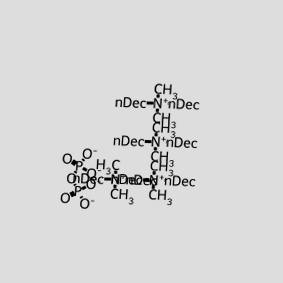 CCCCCCCCCC[N+](C)(C)CCCCCCCCCC.CCCCCCCCCC[N+](C)(C)CCCCCCCCCC.CCCCCCCCCC[N+](C)(C)CCCCCCCCCC.CCCCCCCCCC[N+](C)(C)CCCCCCCCCC.O=P([O-])([O-])OP(=O)([O-])[O-]